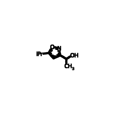 CC(C)c1cc(C(C)O)no1